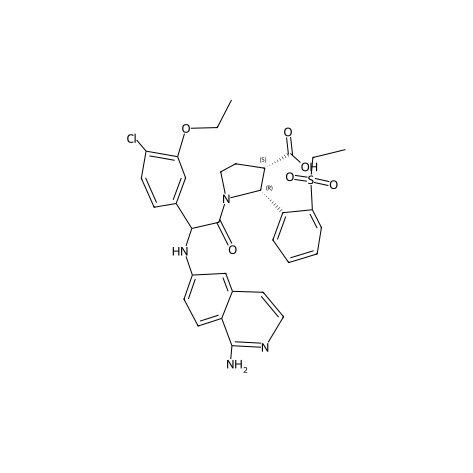 CCOc1cc(C(Nc2ccc3c(N)nccc3c2)C(=O)N2CC[C@H](C(=O)O)[C@@H]2c2ccccc2S(=O)(=O)CC)ccc1Cl